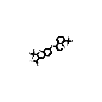 O=C(O)C1=Cc2ccc(Oc3ccnc4c(C(F)(F)F)cccc34)cc2OC1C(F)(F)F